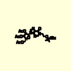 CC(=O)OC[C@H]1O[C@@H](n2cnc3c(=O)n(CCO[Si](C)(C)C(C)(C)C)cnc32)[C@H](OC(C)=O)[C@@H]1OC(C)=O